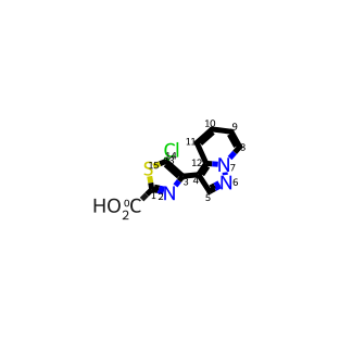 O=C(O)c1nc(-c2cnn3ccccc23)c(Cl)s1